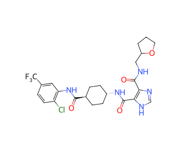 O=C(NCC1CCCO1)c1nc[nH]c1C(=O)N[C@H]1CC[C@H](C(=O)Nc2cc(C(F)(F)F)ccc2Cl)CC1